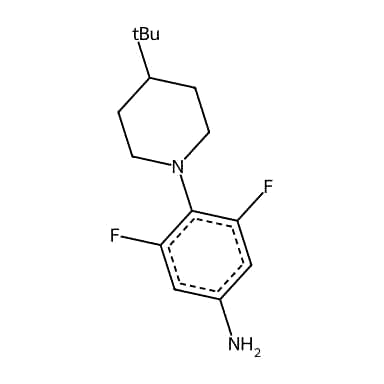 CC(C)(C)C1CCN(c2c(F)cc(N)cc2F)CC1